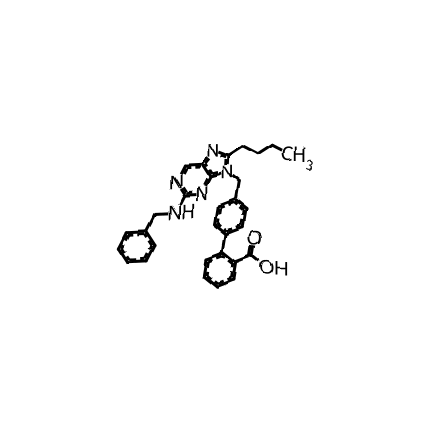 CCCCc1nc2cnc(NCc3ccccc3)nc2n1Cc1ccc(-c2ccccc2C(=O)O)cc1